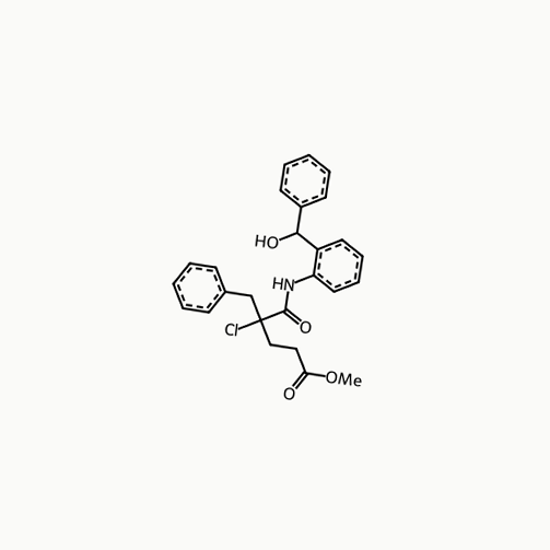 COC(=O)CCC(Cl)(Cc1ccccc1)C(=O)Nc1ccccc1C(O)c1ccccc1